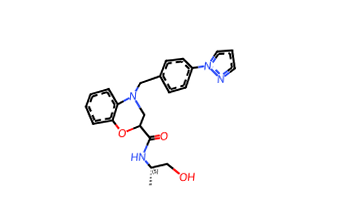 C[C@@H](CO)NC(=O)C1CN(Cc2ccc(-n3cccn3)cc2)c2ccccc2O1